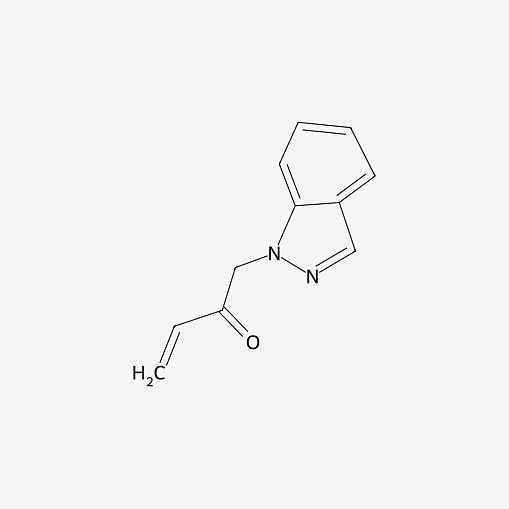 C=CC(=O)Cn1ncc2ccccc21